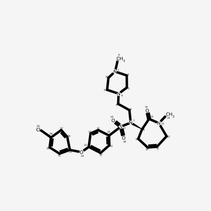 CN1CCN(CCN([C@@H]2CC=CCN(C)C2=O)S(=O)(=O)c2ccc(Oc3ccc(Cl)cc3)cc2)CC1